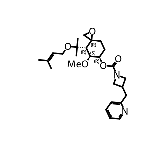 CO[C@H]1[C@H](C(C)(C)OCC=C(C)C)[C@]2(CC[C@H]1OC(=O)N1CC(Cc3ccccn3)C1)CO2